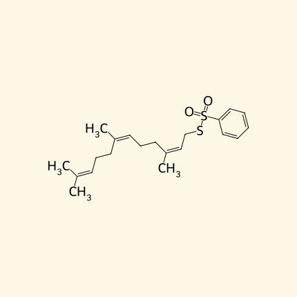 CC(C)=CCCC(C)=CCCC(C)=CCSS(=O)(=O)c1ccccc1